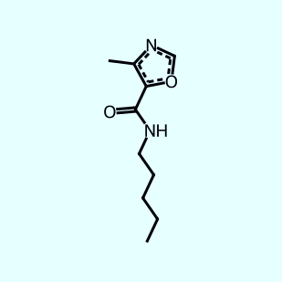 CCCCCNC(=O)c1ocnc1C